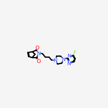 O=C1C2C=CC(C2)C(=O)N1CCCCN1CCN(c2nccc(F)n2)CC1